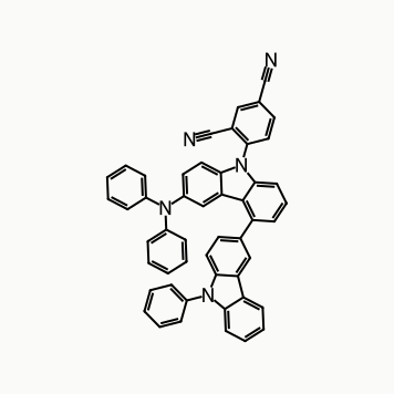 N#Cc1ccc(-n2c3ccc(N(c4ccccc4)c4ccccc4)cc3c3c(-c4ccc5c(c4)c4ccccc4n5-c4ccccc4)cccc32)c(C#N)c1